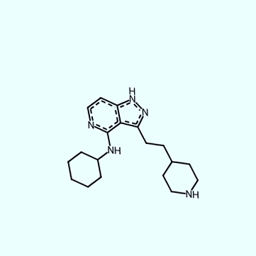 c1cc2[nH]nc(CCC3CCNCC3)c2c(NC2CCCCC2)n1